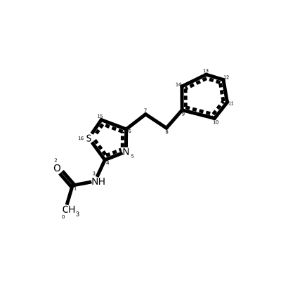 CC(=O)Nc1nc(CCc2c[c]ccc2)cs1